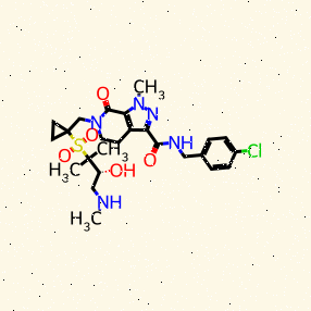 CNC[C@@H](O)C(C)(C)S(=O)(=O)C1(CN2CCc3c(C(=O)NCc4ccc(Cl)cc4)nn(C)c3C2=O)CC1